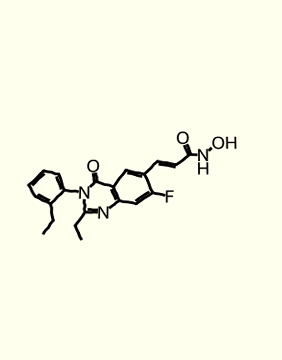 CCc1ccccc1-n1c(CC)nc2cc(F)c(/C=C/C(=O)NO)cc2c1=O